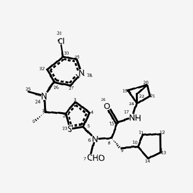 C[C@@H](c1ccc(N(C=O)[C@@H](CC2CCCC2)C(=O)NC23CC(C2)C3)s1)N(C)c1cncc(Cl)c1